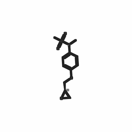 CN(c1ccc(OC[C@H]2CO2)cc1)S(C)(=O)=O